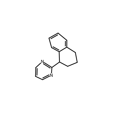 c1cnc(C2CCCc3ccccc32)nc1